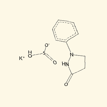 O=C1CCN(c2ccccc2)N1.O=S([O-])O.[K+]